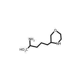 NC(CCCC1COCCN1)C(=O)O